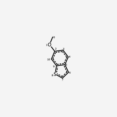 COc1c[c]c2ccsc2c1